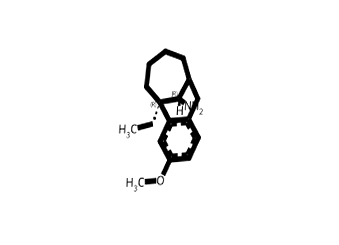 CC[C@@]12CCCCC(Cc3ccc(OC)cc31)[C@H]2N